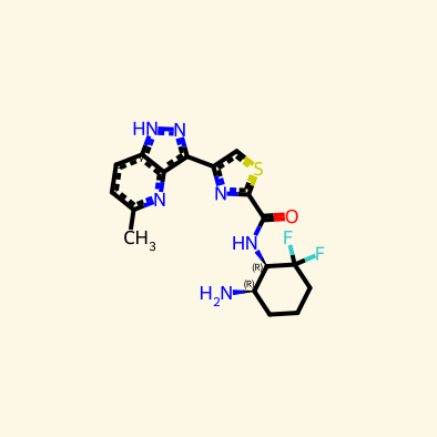 Cc1ccc2[nH]nc(-c3csc(C(=O)N[C@@H]4[C@H](N)CCCC4(F)F)n3)c2n1